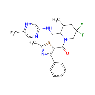 Cc1nc(-c2ccccc2)c(C(=O)N2CC(F)(F)CC(C)C2CNc2cnc(C(F)(F)F)cn2)s1